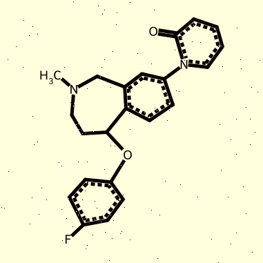 CN1CCC(Oc2ccc(F)cc2)c2ccc(-n3ccccc3=O)cc2C1